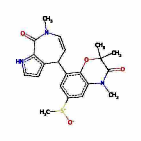 CN1C=CC(c2cc([S+](C)[O-])cc3c2OC(C)(C)C(=O)N3C)c2cc[nH]c2C1=O